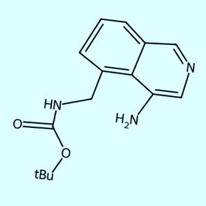 CC(C)(C)OC(=O)NCc1cccc2cncc(N)c12